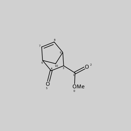 COC(=O)C1C(=O)C2C=CC1C2